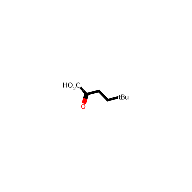 CC(C)(C)CCC(=O)C(=O)O